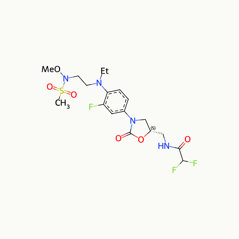 CCN(CCN(OC)S(C)(=O)=O)c1ccc(N2C[C@H](CNC(=O)C(F)F)OC2=O)cc1F